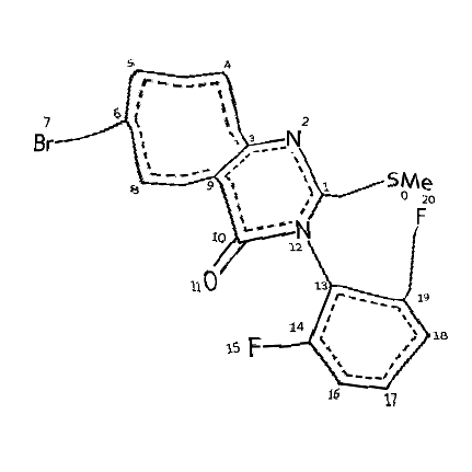 CSc1nc2ccc(Br)cc2c(=O)n1-c1c(F)cccc1F